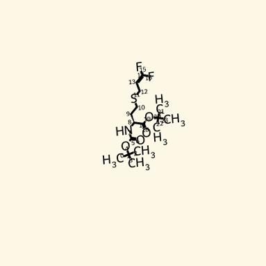 CC(C)(C)OC(=O)N[C@@H](CCSCC=C(F)F)C(=O)OC(C)(C)C